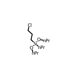 CCCO[Si](CCC)(CCCCl)OCCC